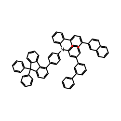 c1ccc(-c2cccc(-c3cccc(N(c4ccc(-c5cccc6c5-c5ccccc5C6(c5ccccc5)c5ccccc5)cc4)c4ccccc4-c4ccc(-c5ccc6ccccc6c5)cc4)c3)c2)cc1